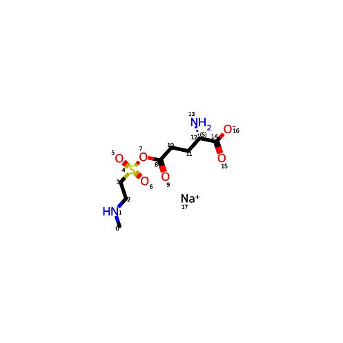 CNCCS(=O)(=O)OC(=O)CC[C@H](N)C(=O)[O-].[Na+]